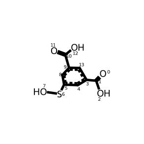 O=C(O)c1cc(SO)cc(C(=O)O)c1